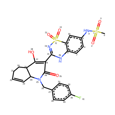 CS(=O)(=O)Nc1ccc2c(c1)S(=O)(=O)N=C(C1=C(O)C3CCC=CC3N(Cc3ccc(F)cc3)C1=O)N2